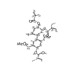 C=C(C)C(=O)Oc1cc(COC)c(-c2cc(OC(=O)C(=C)C)c(OC(=O)C(=C)C)cc2F)cc1COC